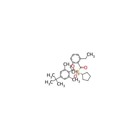 CCc1cccc(CC)c1C(=O)P(=O)(C(=O)c1c(C)cc(C(C)(C)C)cc1C)C1CCCC1